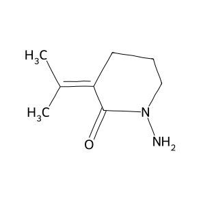 CC(C)=C1CCCN(N)C1=O